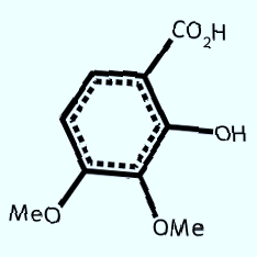 COc1ccc(C(=O)O)c(O)c1OC